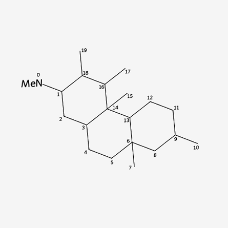 CNC1CC2CCC3(C)CC(C)CCC3C2(C)C(C)C1C